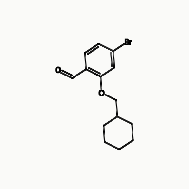 O=Cc1ccc(Br)cc1OCC1CCCCC1